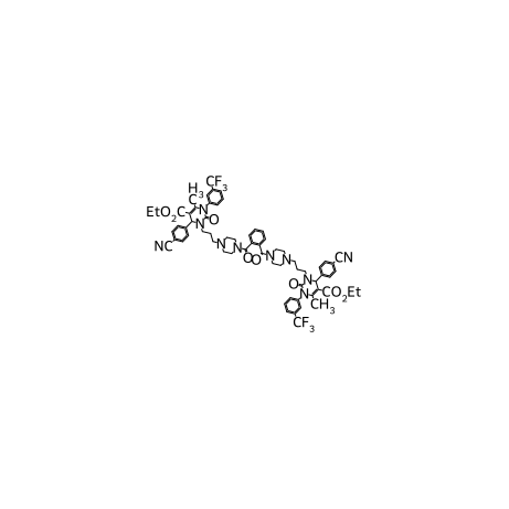 CCOC(=O)C1=C(C)N(c2cccc(C(F)(F)F)c2)C(=O)N(CCCN2CCN(C(=O)c3ccccc3C(=O)N3CCN(CCCN4C(=O)N(c5cccc(C(F)(F)F)c5)C(C)=C(C(=O)OCC)C4c4ccc(C#N)cc4)CC3)CC2)C1c1ccc(C#N)cc1